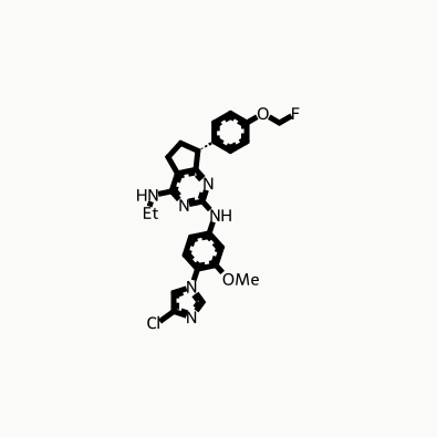 CCNc1nc(Nc2ccc(-n3cnc(Cl)c3)c(OC)c2)nc2c1CC[C@@H]2c1ccc(OCF)cc1